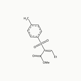 CCC=C(C(=O)OC)S(=O)(=O)c1ccc(C)cc1